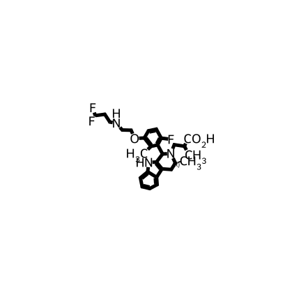 Cc1c(OCCNCCC(F)F)ccc(F)c1C1c2[nH]c3ccccc3c2C[C@@H](C)N1CC(C)C(=O)O